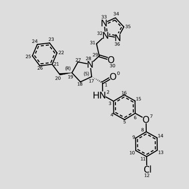 O=C(Nc1ccc(Oc2ccc(Cl)cc2)cc1)[C@@H]1C[C@@H](Cc2ccccc2)CN1C(=O)Cn1nccn1